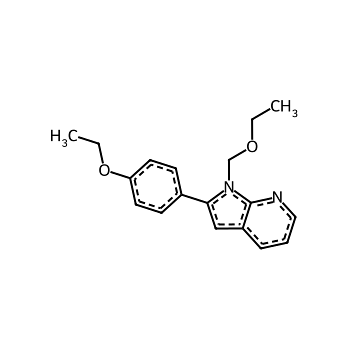 CCOCn1c(-c2ccc(OCC)cc2)cc2cccnc21